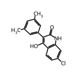 Cc1cc(C)cc(-c2c(O)c3ccc(Cl)cc3[nH]c2=O)c1